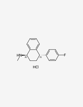 CN[C@@H]1CC[C@@H](c2ccc(F)cc2)c2ccccc21.Cl